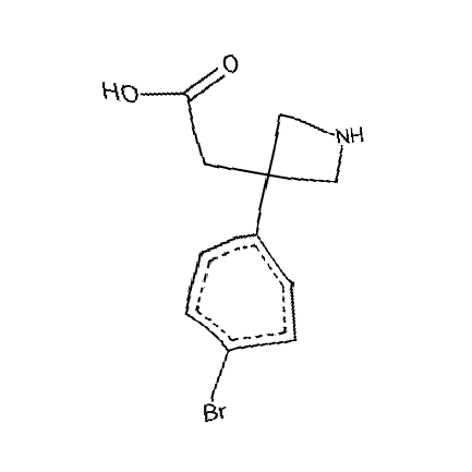 O=C(O)CC1(c2ccc(Br)cc2)CNC1